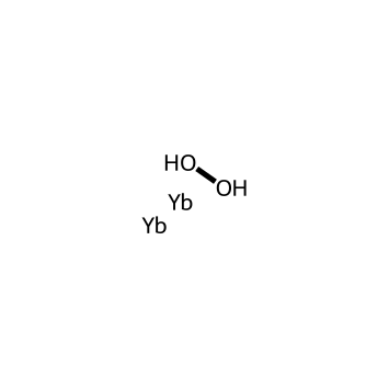 OO.[Yb].[Yb]